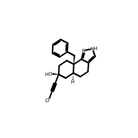 O[C@@]1(C#CCl)CC[C@]2(Cc3ccccc3)c3n[nH]cc3CC[C@H]2C1